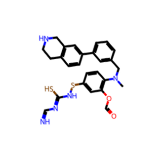 CN(Cc1cccc(-c2ccc3c(c2)CNCC3)c1)c1ccc(SN/C(S)=N/C=N)cc1OC=O